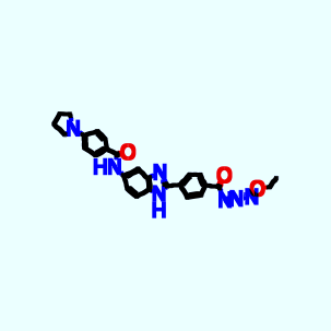 CCON=[N+]=NC(=O)c1ccc(-c2nc3cc(NC(=O)c4ccc(N5CCCC5)cc4)ccc3[nH]2)cc1